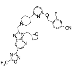 N#Cc1ccc(COc2cccc(C3CCN(Cc4nc5cc(-c6noc(C(F)(F)F)n6)cnc5n4CC4CCO4)CC3)n2)c(F)c1